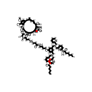 CCCCCC(=O)Nc1cccc(CN(Cc2cc(CN(Cc3ccccn3)Cc3cccc(NC(=O)CCCCC)n3)cc(OCCCCNC(=O)CCSSCCC(=O)N(C)[C@H](C)C(=O)O[C@H]3CC(=O)N(C)c4cc(cc(OC)c4Cl)C/C(C)=C/C=C/[C@H](OC)[C@]4(O)C[C@@H](OC(=O)N4)[C@H](C)C4O[C@@]43C)c2)Cc2ccccn2)n1